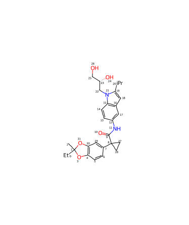 CCC1(C)Oc2ccc(C3(C(=O)Nc4ccc5c(c4)cc(C(C)C)n5C[C@@H](O)CO)CC3)cc2O1